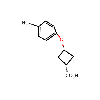 N#Cc1ccc(O[C@H]2C[C@@H](C(=O)O)C2)cc1